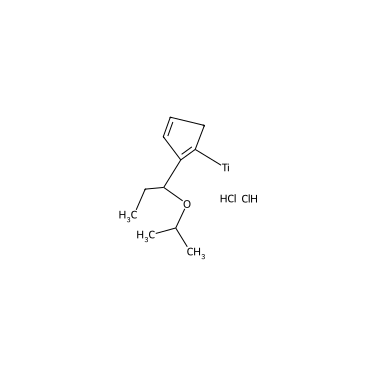 CCC(OC(C)C)C1=[C]([Ti])CC=C1.Cl.Cl